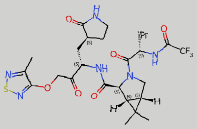 Cc1nsnc1OCC(=O)[C@H](C[C@@H]1CCNC1=O)NC(=O)[C@@H]1[C@@H]2[C@H](CN1C(=O)[C@@H](NC(=O)C(F)(F)F)C(C)C)C2(C)C